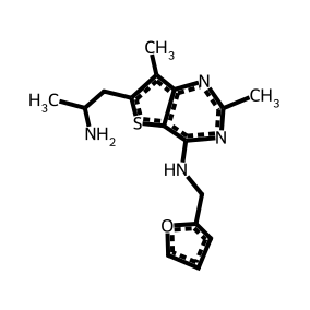 Cc1nc(NCc2ccco2)c2sc(CC(C)N)c(C)c2n1